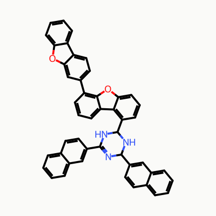 c1ccc2cc(C3=NC(c4ccc5ccccc5c4)NC(c4cccc5oc6c(-c7ccc8c(c7)oc7ccccc78)cccc6c45)N3)ccc2c1